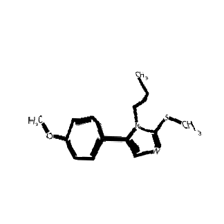 CCCn1c(-c2ccc(OC)cc2)cnc1SC